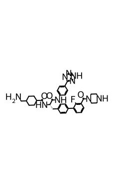 NCC1CCC(C(=O)N[C@@H](Cc2ccc(-c3cccc(C(=O)N4CCNCC4)c3F)cc2)C(=O)Nc2ccc(-c3nn[nH]n3)cc2)CC1